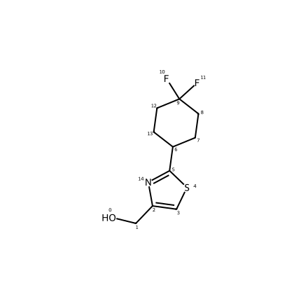 OCc1csc(C2CCC(F)(F)CC2)n1